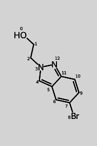 OCCn1cc2cc(Br)ccc2n1